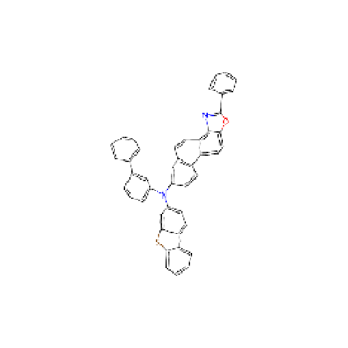 c1ccc(-c2cccc(N(c3ccc4c(ccc5c4ccc4oc(-c6ccccc6)nc45)c3)c3ccc4c(c3)sc3ccccc34)c2)cc1